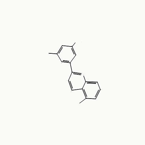 Cc1cc(C)cc(-c2ccc3c(C(C)C)cccc3n2)c1